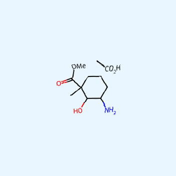 CC(=O)O.COC(=O)C1(C)CCCC(N)C1O